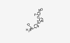 BN(CCOC)Cc1ccc(-c2cc3nccc(Oc4ccc(N=O)cc4F)c3s2)nc1